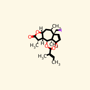 C/C=C(\C)C(=O)O[C@H]1[C@@H]2[C@H](C)C(=O)O[C@@H]2C[C@@H](C)[C@]2(CI)C=CC(=O)[C@@]12C